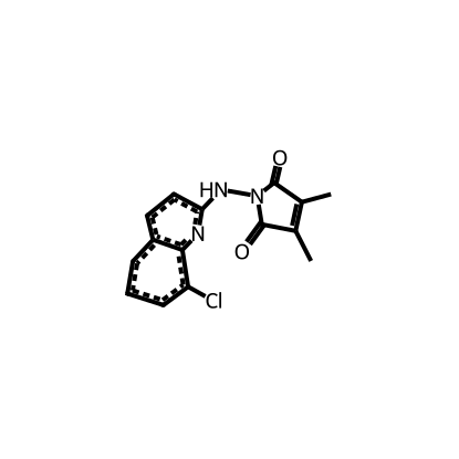 CC1=C(C)C(=O)N(Nc2ccc3cccc(Cl)c3n2)C1=O